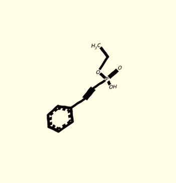 CCOP(=O)(O)C#Cc1ccccc1